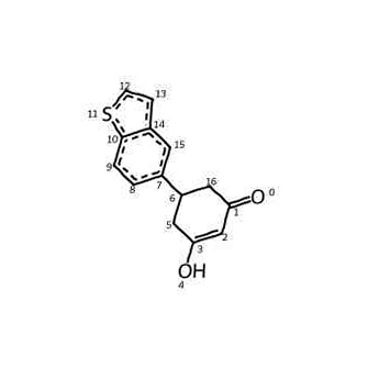 O=C1C=C(O)CC(c2ccc3sccc3c2)C1